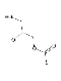 CCC(=O)OCC([O])CO